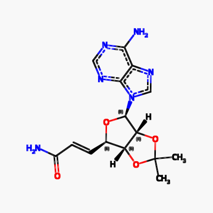 CC1(C)O[C@@H]2[C@H](O1)[C@@H](C=CC(N)=O)O[C@H]2n1cnc2c(N)ncnc21